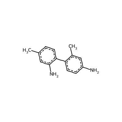 Cc1ccc(-c2ccc(N)cc2C)c(N)c1